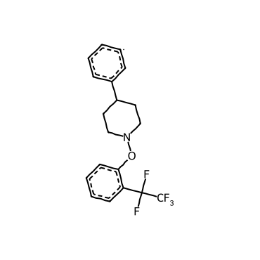 FC(F)(F)C(F)(F)c1ccccc1ON1CCC(c2c[c]ccc2)CC1